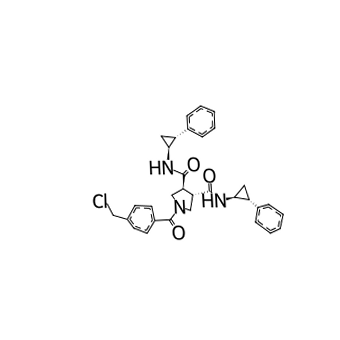 O=C(N[C@H]1C[C@@H]1c1ccccc1)[C@@H]1CN(C(=O)c2ccc(CCl)cc2)C[C@H]1C(=O)N[C@H]1C[C@@H]1c1ccccc1